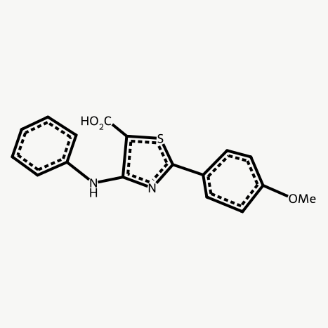 COc1ccc(-c2nc(Nc3ccccc3)c(C(=O)O)s2)cc1